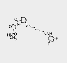 CNC(=O)CCC(C=O)N1Cc2c(SCCCCCCCCNc3cc(F)cc(F)c3)cccc2C1=O